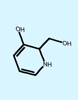 OC[C]1NC=CC=C1O